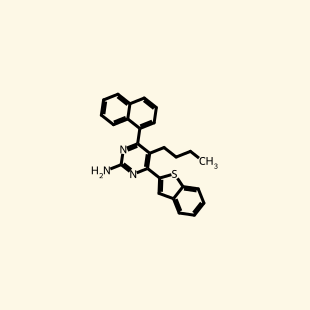 CCCCc1c(-c2cc3ccccc3s2)nc(N)nc1-c1cccc2ccccc12